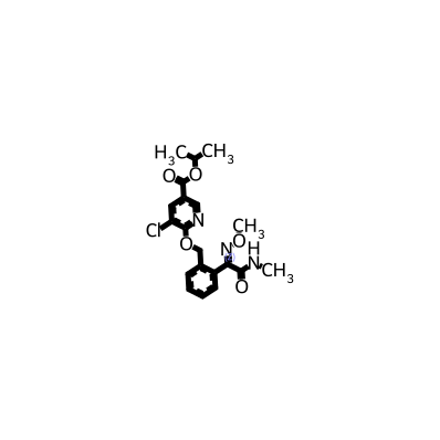 CNC(=O)/C(=N\OC)c1ccccc1COc1ncc(C(=O)OC(C)C)cc1Cl